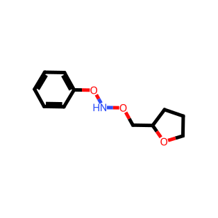 c1ccc(ONOCC2CCCO2)cc1